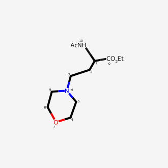 CCOC(=O)C(CCN1CCOCC1)NC(C)=O